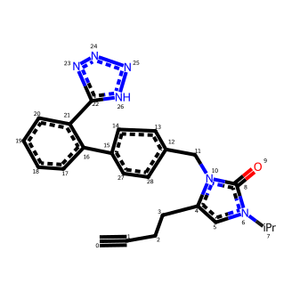 C#CCCc1cn(C(C)C)c(=O)n1Cc1ccc(-c2ccccc2-c2nnn[nH]2)cc1